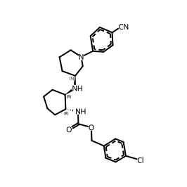 N#Cc1ccc(N2CCC[C@H](N[C@@H]3CCCC[C@H]3NC(=O)OCc3ccc(Cl)cc3)C2)cc1